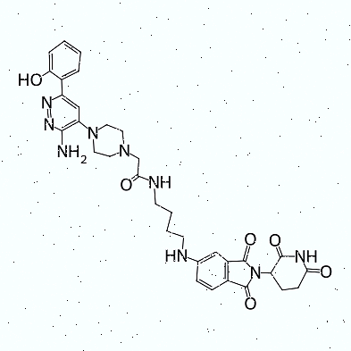 Nc1nnc(-c2ccccc2O)cc1N1CCN(CC(=O)NCCCCNc2ccc3c(c2)C(=O)N(C2CCC(=O)NC2=O)C3=O)CC1